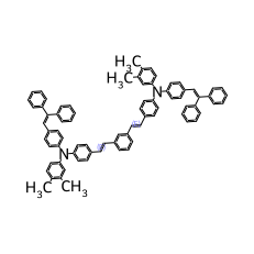 Cc1ccc(N(c2ccc(C=C(c3ccccc3)c3ccccc3)cc2)c2ccc(/C=C/c3cccc(/C=C/c4ccc(N(c5ccc(C=C(c6ccccc6)c6ccccc6)cc5)c5ccc(C)c(C)c5)cc4)c3)cc2)cc1C